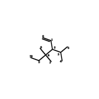 C=CC(C(C)C)C(C)(C)CC